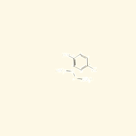 O=S(=O)(O)OOS(=O)(=O)O.Oc1ccc(Cl)cc1